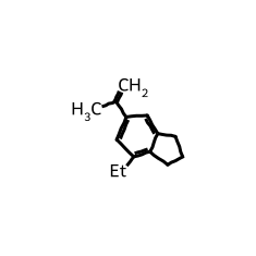 C=C(C)c1cc(CC)c2c(c1)CCC2